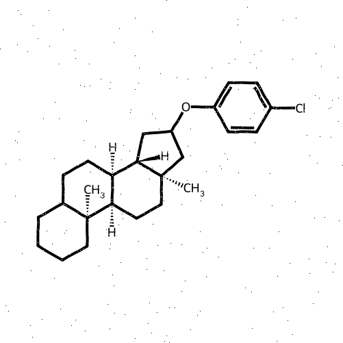 C[C@]12CC[C@@H]3[C@@H](CCC4CCCC[C@@]43C)[C@@H]1CC(Oc1ccc(Cl)cc1)C2